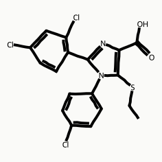 CCSc1c(C(=O)O)nc(-c2ccc(Cl)cc2Cl)n1-c1ccc(Cl)cc1